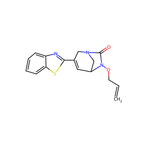 C=CCON1C(=O)N2CC(c3nc4ccccc4s3)=CC1C2